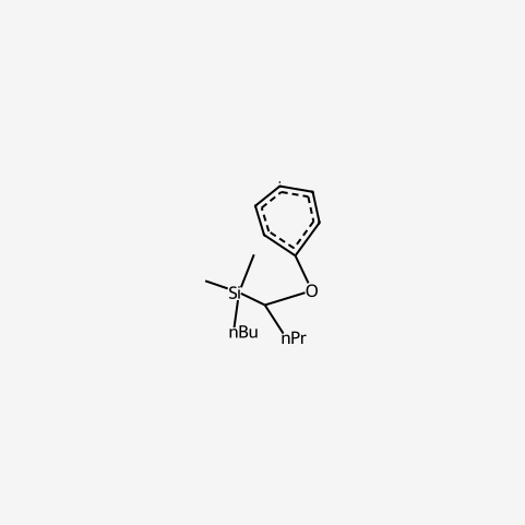 CCCC[Si](C)(C)C(CCC)Oc1cc[c]cc1